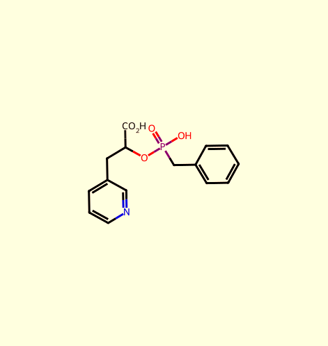 O=C(O)C(Cc1cccnc1)OP(=O)(O)Cc1ccccc1